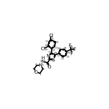 O=C(NN1CCOCC1)c1nc(-c2ccc(Cl)cc2Cl)c(-c2ccc(C(F)(F)F)cc2)s1